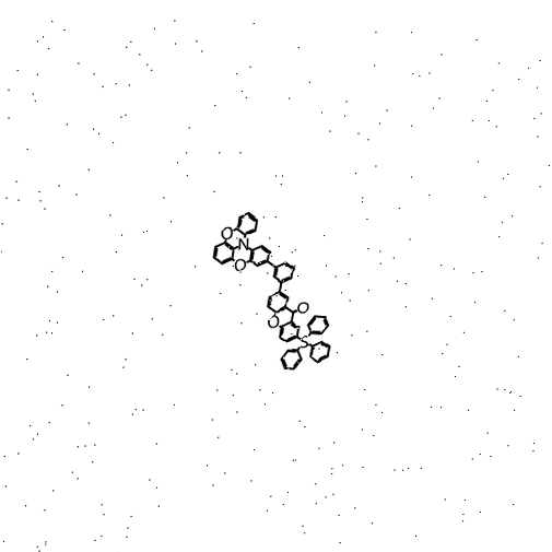 O=c1c2cc(-c3cccc(-c4ccc5c(c4)Oc4cccc6c4N5c4ccccc4O6)c3)ccc2oc2ccc(S(c3ccccc3)(c3ccccc3)c3ccccc3)cc12